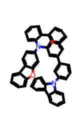 c1ccc(-c2ccccc2N(c2cccc(-c3cccc(-n4c5ccccc5c5ccccc54)c3)c2)c2ccc3c(c2)oc2ccccc23)cc1